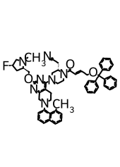 Cc1cccc2cccc(N3CCc4c(nc(OC[C@H]5C[C@@H](F)CN5C)nc4N4CCN(C(=O)/C=C/COC(c5ccccc5)(c5ccccc5)c5ccccc5)[C@@H](CC#N)C4)C3)c12